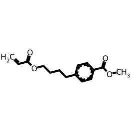 C=CC(=O)OCCCCc1ccc(C(=O)OC)cc1